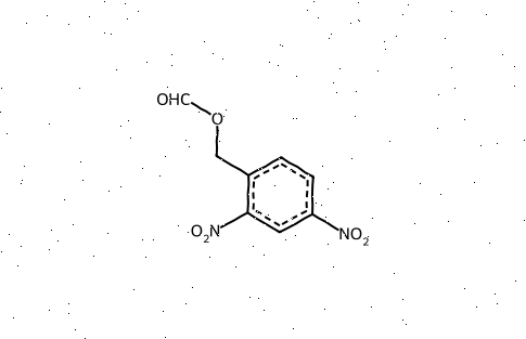 O=COCc1ccc([N+](=O)[O-])cc1[N+](=O)[O-]